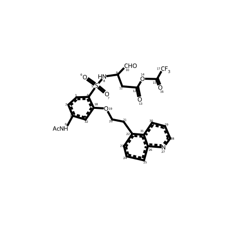 CC(=O)Nc1ccc(S(=O)(=O)NC(C=O)CC(=O)OC(=O)C(F)(F)F)c(OCCc2cccc3ncccc23)c1